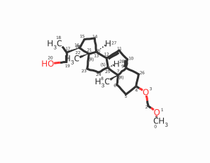 COCOC1CC[C@@]2(C)C(=CC=C3[C@@H]4CC[C@H](C(C)CO)[C@@]4(C)CC[C@@H]32)C1